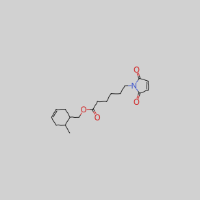 CC1CC=CCC1COC(=O)CCCCCN1C(=O)C=CC1=O